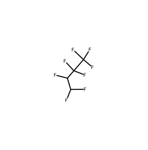 F[C](C(F)F)C(F)(F)C(F)(F)F